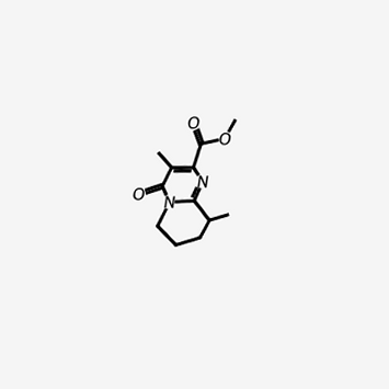 COC(=O)c1nc2n(c(=O)c1C)CCCC2C